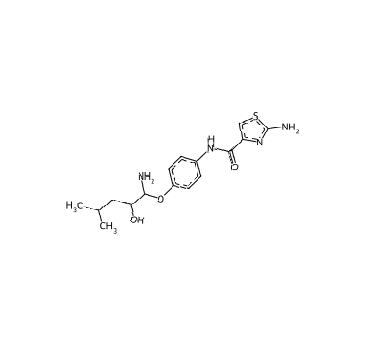 CC(C)CC(O)C(N)Oc1ccc(NC(=O)c2csc(N)n2)cc1